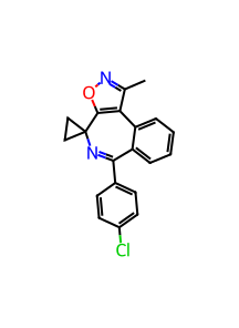 Cc1noc2c1-c1ccccc1C(c1ccc(Cl)cc1)=NC21CC1